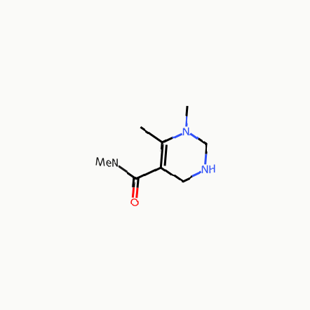 CNC(=O)C1=C(C)N(C)CNC1